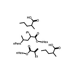 C=C(CC)C(=O)OCCCCCC.CCCC(C)C(=O)O.CCCC(C)C(=O)O.CCCCCCOC(=O)C(CC(C)CCCCC)C(C)C